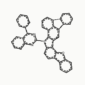 c1ccc(-c2nc(-n3c4ccc5c6ccccc6oc5c4c4cc5c6c(cccc6c43)-c3ccccc3-5)nc3ccccc23)cc1